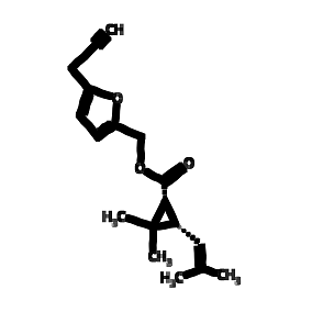 C#CCc1ccc(COC(=O)[C@@H]2[C@H](C=C(C)C)C2(C)C)o1